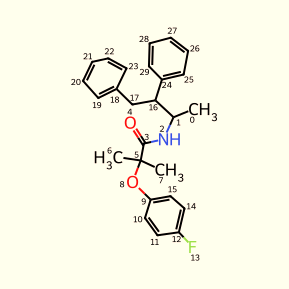 CC(NC(=O)C(C)(C)Oc1ccc(F)cc1)C(Cc1ccccc1)c1ccccc1